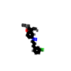 Cc1c(C(=O)O)oc2ccc(NCCCc3cccc(Cl)c3)cc12